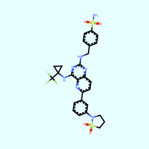 NS(=O)(=O)c1ccc(CNc2nc(NC3(C(F)(F)F)CC3)c3nc(-c4cccc(N5CCCS5(=O)=O)c4)ccc3n2)cc1